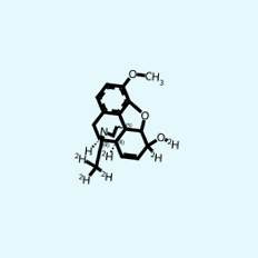 [2H]OC1([2H])C=C[C@@]2([2H])[C@H]3Cc4ccc(OC)c5c4[C@@]2(CCN3C([2H])([2H])[2H])C1O5